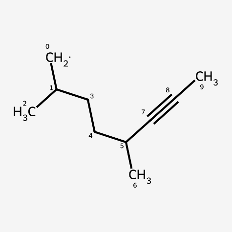 [CH2]C(C)CCC(C)C#CC